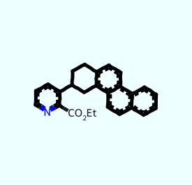 CCOC(=O)c1ncccc1C1CCc2ccc3c(ccc4ccccc43)c2C1